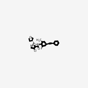 Cc1cc(C#Cc2ccccc2)cc(F)c1NC(=O)c1c(Cl)cnn1C[C@@H]1CCOC1